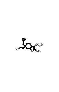 CCOC(=O)c1c(N)sc2c1CCC(CCC#N)(CC1CC1)C2